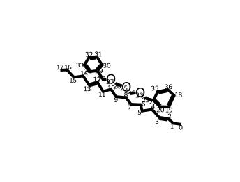 CCC=CCCCCCCCCC=CCCCC.c1ccc(COCOCOCc2ccccc2)cc1